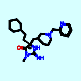 CN1C(=N)N[C@@](CCC2CCCCC2)(CC2CCCN(Cc3ccccn3)C2)C1=O